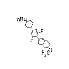 CCCC[C@H]1CC[C@H](c2cc(F)c(-c3ccc4cc(OC(F)(F)F)ccc4c3)c(F)c2)CC1